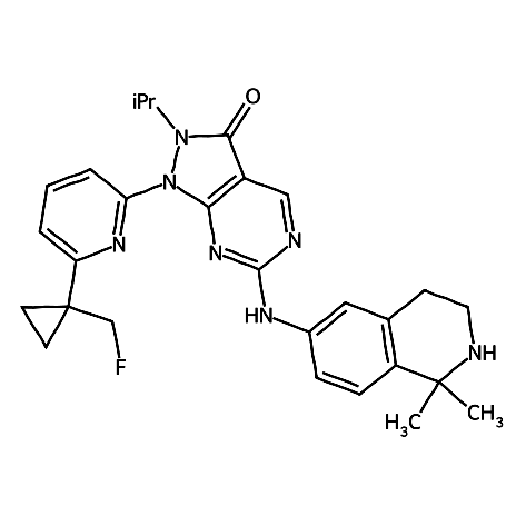 CC(C)n1c(=O)c2cnc(Nc3ccc4c(c3)CCNC4(C)C)nc2n1-c1cccc(C2(CF)CC2)n1